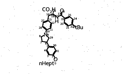 CCCCCCCOc1ccc(C2CCN(c3ccc(C[C@H](NC(=O)c4ccc(C(C)(C)C)cc4)C(=O)O)cc3)C2)cc1